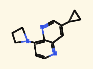 c1cc(N2CCC2)c2ncc(C3CC3)cc2n1